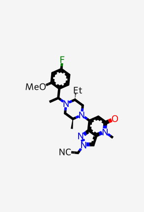 CC[C@@H]1CN(c2cc(=O)n(C)c3cn(CC#N)nc23)[C@@H](C)CN1C(C)c1ccc(F)cc1OC